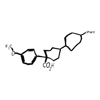 CCCCCC1CCC(C2CCC(C(=O)O)(c3ccc(OC(F)(F)F)cc3)CC2)CC1